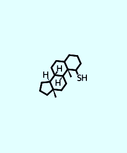 C[C@@]12CCC[C@H]1[C@@H]1CCC3CCCC(S)[C@]3(C)[C@H]1CC2